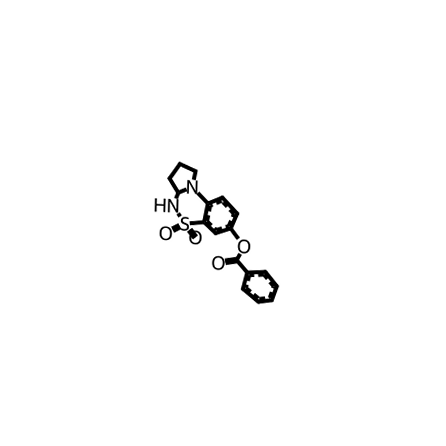 O=C(Oc1ccc2c(c1)S(=O)(=O)NC1CCCN21)c1ccccc1